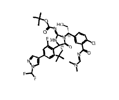 CN(C)C=NC(=O)c1cc([C@@H](CO)N2C(=O)[C@@](CC(C)(C)C)(c3ccc(-c4cnn(C(F)F)c4)cc3F)NC2=NC(=O)OC(C)(C)C)ccc1Cl